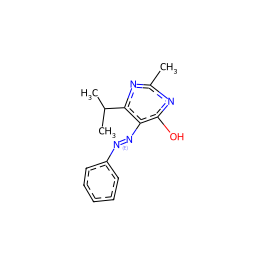 Cc1nc(O)c(/N=N/c2ccccc2)c(C(C)C)n1